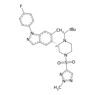 Cc1cc2c(cnn2-c2ccc(F)cc2)cc1[C@H]1CN(S(=O)(=O)c2cnn(C)n2)CCN1CC(C)(C)C